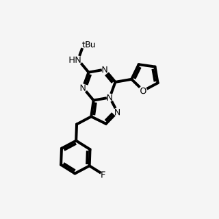 CC(C)(C)Nc1nc(-c2ccco2)n2ncc(Cc3cccc(F)c3)c2n1